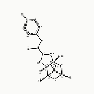 Cc1ccc(CC(Cl)B2O[C@@H]3C[C@@H]4C[C@@H](C4(C)C)[C@]3(C)O2)cc1